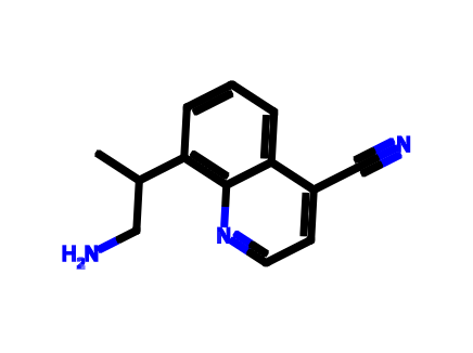 CC(CN)c1cccc2c(C#N)ccnc12